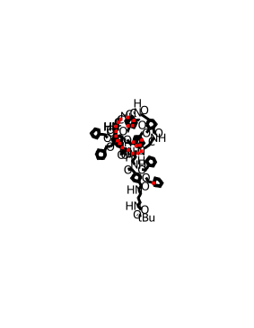 CC(C)(C)OC(=O)NCCCNC(=O)c1ccc(C(=O)NCC[C@H]2CNC3CCNC(=O)c4ccc(c(OCc5ccccc5)c4OCc4ccccc4)C(=O)NCCN(CCNC(=O)c4ccc(c(OCc5ccccc5)c4OCc4ccccc4)C(=O)NCC3)CCNC(=O)c3ccc(c(OCc4ccccc4)c3OCc3ccccc3)C(=O)N2)c(OCc2ccccc2)c1OCc1ccccc1